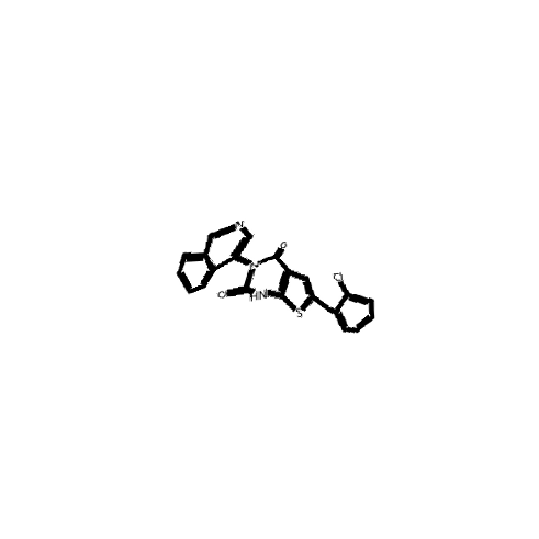 O=c1[nH]c2sc(-c3ccccc3Cl)cc2c(=O)n1-c1cncc2ccccc12